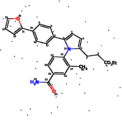 CCOC(=O)CCc1ccc(-c2ccc(-c3ccco3)cc2)n1-c1ccc(C(N)=O)cc1C